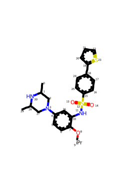 CC1CN(c2ccc(OC(C)C)c(NS(=O)(=O)c3ccc(-c4cccs4)cc3)c2)CC(C)N1